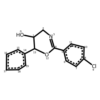 OC1CN=C(c2ccc(Cl)cc2)OC1c1ccccc1